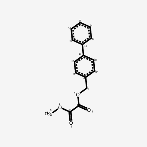 CC(C)(C)OC(=O)C(=O)OCc1ccc(-c2ccccc2)cc1